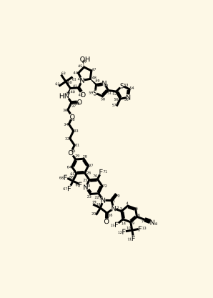 C=C1N(c2ccc(C#N)c(C(F)(F)F)c2F)C(=O)C(C)(C)N1c1cnc(-c2ccc(OCCCCOCC(=O)N[C@H](C(=O)N3C[C@H](O)C[C@H]3c3nc(-c4scnc4C)cs3)C(C)(C)C)cc2C(F)(F)F)c(F)c1